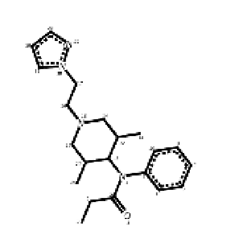 CCC(=O)N(c1ccccc1)C1C(C)CN(CCn2cccn2)CC1C